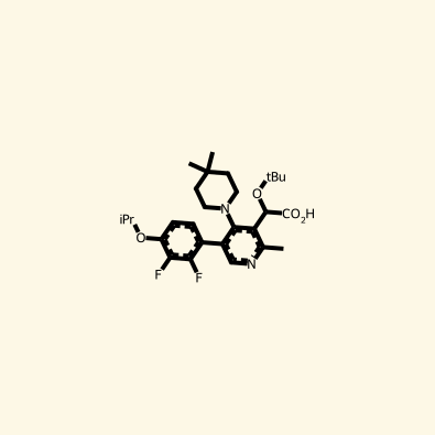 Cc1ncc(-c2ccc(OC(C)C)c(F)c2F)c(N2CCC(C)(C)CC2)c1C(OC(C)(C)C)C(=O)O